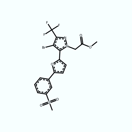 COC(=O)Cn1nc(C(F)(F)F)c(Br)c1-c1ccc(-c2cccc(S(C)(=O)=O)c2)o1